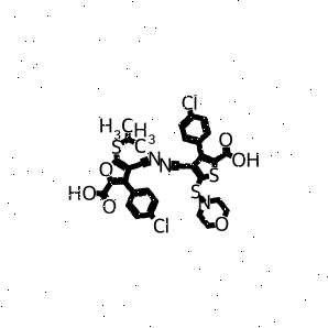 CC(C)Sc1oc(C(=O)O)c(-c2ccc(Cl)cc2)c1C#N.N#Cc1c(SN2CCOCC2)sc(C(=O)O)c1-c1ccc(Cl)cc1